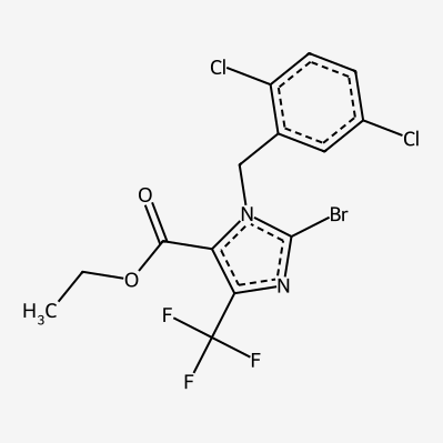 CCOC(=O)c1c(C(F)(F)F)nc(Br)n1Cc1cc(Cl)ccc1Cl